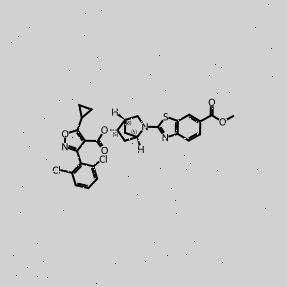 COC(=O)c1ccc2nc(N3C[C@@H]4C[C@H]3C[C@@H]4OC(=O)c3c(-c4c(Cl)cccc4Cl)noc3C3CC3)sc2c1